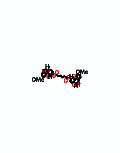 COc1ccc2c3c1O[C@H]1C(OC(=O)CCCCC(=O)OC4=CC[C@@]5(O)[C@H]6Cc7ccc(OC)c8c7[C@@]5(CCN6C)[C@H]4O8)=CC[C@@]4(O)[C@@H](C2)N(C)CCC314